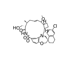 CO[C@@H]1/C=C/C[C@H](C)[C@@H](CO)C(=O)NS(=O)(=O)c2ccc3c(c2)N(C[C@@H]2CC[C@H]21)C[C@@]1(CCCc2cc(Cl)ccc21)CO3